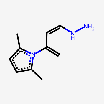 C=C(/C=C\NN)n1c(C)ccc1C